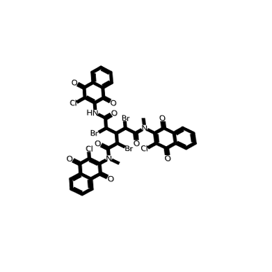 CN(C(=O)C(Br)C(C(Br)C(=O)NC1=C(Cl)C(=O)c2ccccc2C1=O)C(Br)C(=O)N(C)C1=C(Cl)C(=O)c2ccccc2C1=O)C1=C(Cl)C(=O)c2ccccc2C1=O